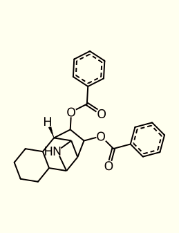 O=C(OC1C2C3NC2[C@H](C2CCCCC32)C1OC(=O)c1ccccc1)c1ccccc1